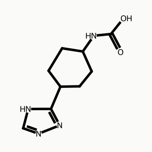 O=C(O)NC1CCC(c2nnc[nH]2)CC1